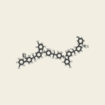 CCn1c2ccc(C)cc2c2cc(C(C)(C)c3ccc4c(c3)c3cc(C)ccc3n4-c3ccc(C(C)(C)c4ccc(-n5c6ccc(C)cc6c6cc(C(C)(C)c7ccc8c9cc(C)ccc9n(CC)c8c7)ccc65)cc4)cc3)ccc21